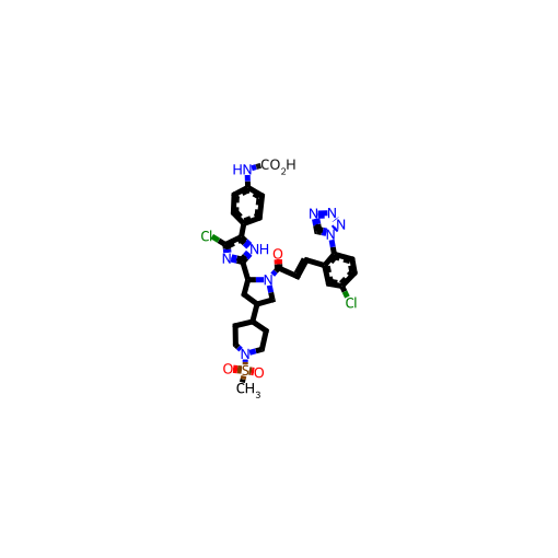 CS(=O)(=O)N1CCC(C2CC(c3nc(Cl)c(-c4ccc(NC(=O)O)cc4)[nH]3)N(C(=O)/C=C/c3cc(Cl)ccc3-n3cnnn3)C2)CC1